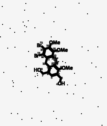 COc1c(CO)cc(CO)c(Cc2c(Br)c(Br)c(OC)c(OC)c2Br)c1Br